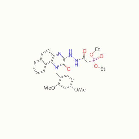 CCOP(=O)(CC(=O)NNc1nc2ccc3ccccc3c2n(Cc2ccc(OC)cc2OC)c1=O)OCC